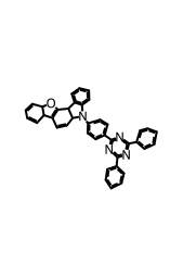 C1=CC2OC3=C(C=CC4C3c3ccccc3N4c3ccc(-c4nc(-c5ccccc5)nc(-c5ccccc5)n4)cc3)C2C=C1